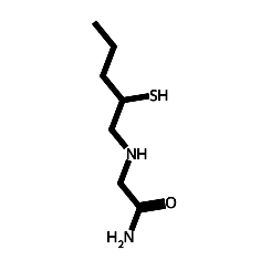 CCCC(S)CNCC(N)=O